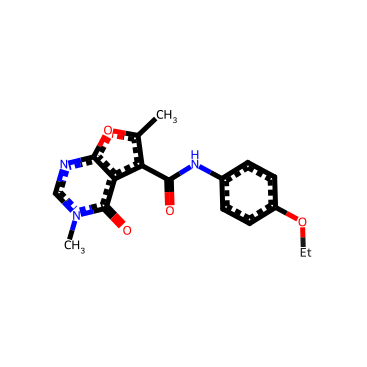 CCOc1ccc(NC(=O)c2c(C)oc3ncn(C)c(=O)c23)cc1